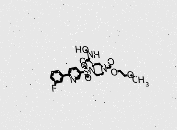 COCCOC(=O)N1CCN(S(=O)(=O)c2ccc(-c3cccc(F)c3)nc2)[C@@H](C(=O)NO)C1